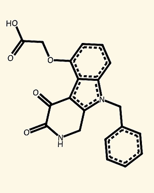 O=C(O)COc1cccc2c1c1c(n2Cc2ccccc2)CNC(=O)C1=O